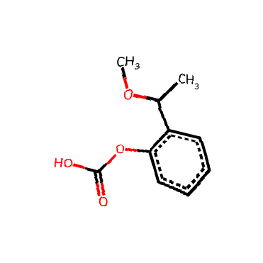 COC(C)c1ccccc1OC(=O)O